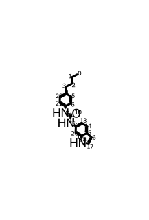 CCCCc1ccc(NC(=O)Nc2ccc3cc[nH]c3c2)cc1